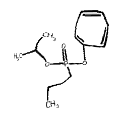 CCCP(=O)(Oc1ccccc1)OC(C)C